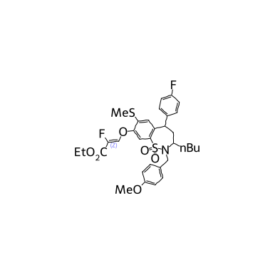 CCCCC1CC(c2ccc(F)cc2)c2cc(SC)c(O/C=C(\F)C(=O)OCC)cc2S(=O)(=O)N1Cc1ccc(OC)cc1